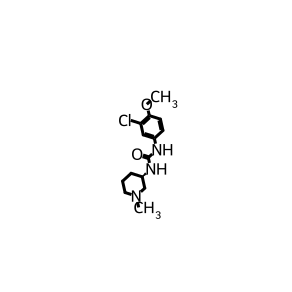 COc1ccc(NC(=O)N[C@@H]2CCCN(C)C2)cc1Cl